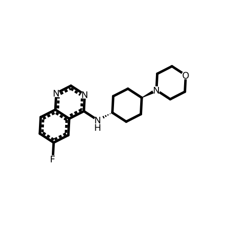 Fc1ccc2ncnc(N[C@H]3CC[C@H](N4CCOCC4)CC3)c2c1